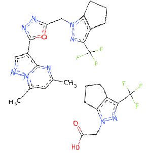 Cc1cc(C)n2ncc(-c3nnc(Cn4nc(C(F)(F)F)c5c4CCC5)o3)c2n1.O=C(O)Cn1nc(C(F)(F)F)c2c1CCC2